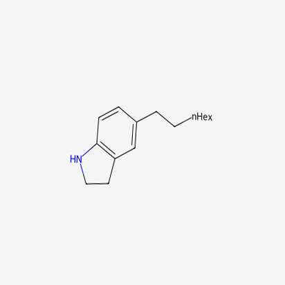 CCCCCCCCc1ccc2c(c1)CCN2